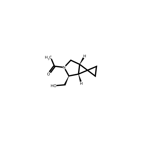 CC(=O)N1C[C@H]2[C@@H]([C@H]1CO)C21CC1